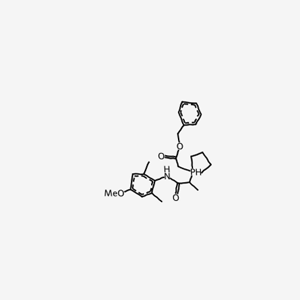 COc1cc(C)c(NC(=O)C(C)[PH]2(CC(=O)OCc3ccccc3)CCCC2)c(C)c1